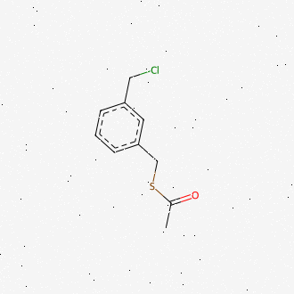 CC(=O)SCc1cccc(CCl)c1